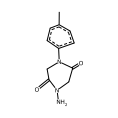 Cc1ccc(N2CC(=O)N(N)CC2=O)cc1